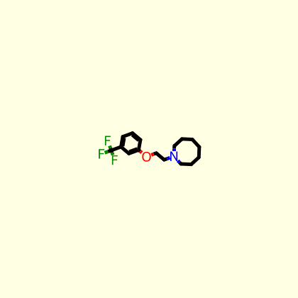 FC(F)(F)c1cccc(OCCN2CCCCCCC2)c1